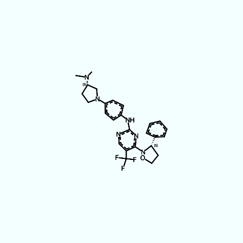 CN(C)[C@H]1CCN(c2ccc(Nc3ncc(C(F)(F)F)c(N4OCC[C@H]4c4ccccc4)n3)cc2)C1